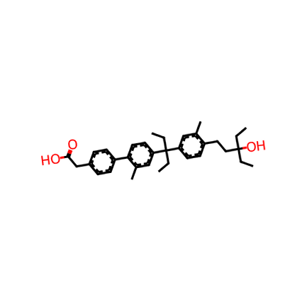 CCC(O)(CC)CCc1ccc(C(CC)(CC)c2ccc(-c3ccc(CC(=O)O)cc3)c(C)c2)cc1C